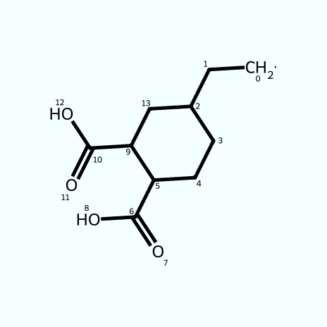 [CH2]CC1CCC(C(=O)O)C(C(=O)O)C1